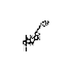 Cc1c(Nc2c(C#N)cnc3sc(C=CCN4CCN(C)CC4)cc23)ccc2[nH]ccc12